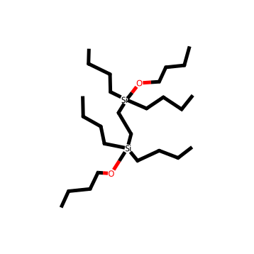 CCCCO[Si](CCCC)(CCCC)CC[Si](CCCC)(CCCC)OCCCC